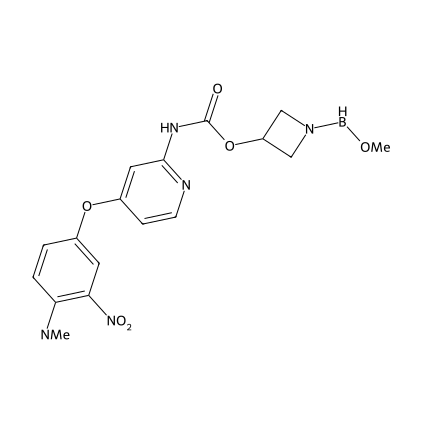 CNc1ccc(Oc2ccnc(NC(=O)OC3CN(BOC)C3)c2)cc1[N+](=O)[O-]